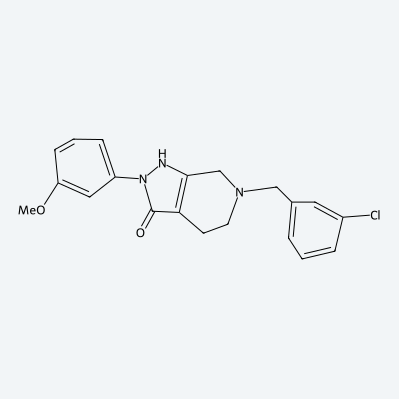 COc1cccc(-n2[nH]c3c(c2=O)CCN(Cc2cccc(Cl)c2)C3)c1